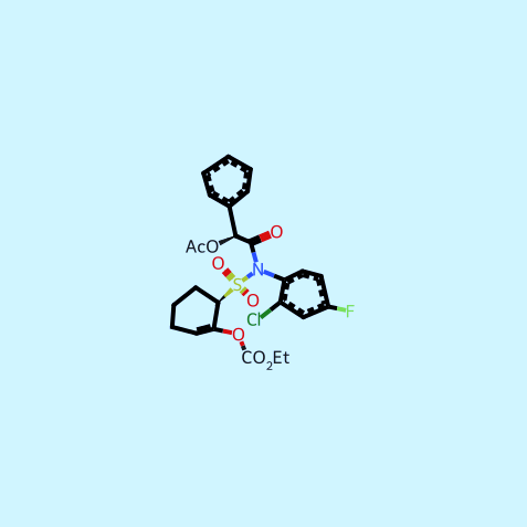 CCOC(=O)OC1=CCCC[C@H]1S(=O)(=O)N(C(=O)[C@@H](OC(C)=O)c1ccccc1)c1ccc(F)cc1Cl